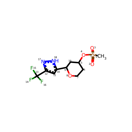 CS(=O)(=O)OC1CCOC(c2cc(C(F)(F)F)n[nH]2)C1